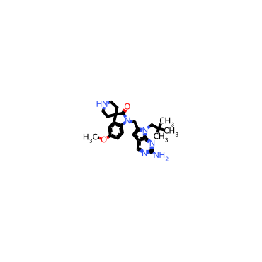 COc1ccc2c(c1)C1(CCNCC1)C(=O)N2Cc1cc2cnc(N)nc2n1CC(C)(C)C